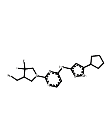 CC(C)CC1CN(c2nccc(Nc3cc(C4CCCC4)[nH]n3)n2)CC1(F)F